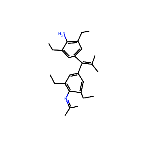 CCc1cc(C(=C(C)C)c2cc(CC)c(N=C(C)C)c(CC)c2)cc(CC)c1N